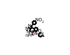 CCCOC(C)c1c(-c2c(-c3ccc([N+](=O)[O-])cc3)n(C)c3ncnc(N)c23)ccc(Oc2cccc(C)n2)c1F